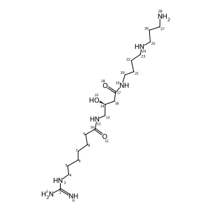 N=C(N)NCCCCCCC(=O)NC[C@@H](O)CC(=O)NCCCCNCCCN